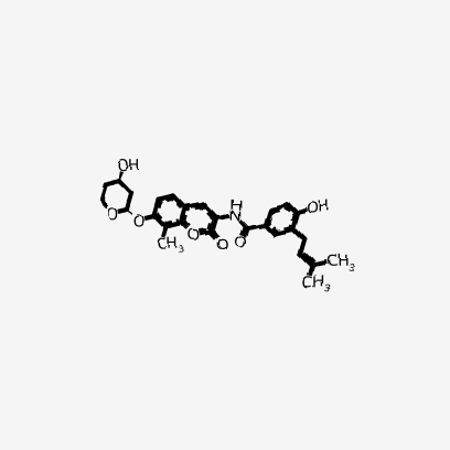 CC(C)=CCc1cc(C(=O)Nc2cc3ccc(O[C@H]4C[C@H](O)CCO4)c(C)c3oc2=O)ccc1O